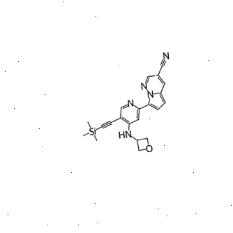 C[Si](C)(C)C#Cc1cnc(-c2ccc3cc(C#N)cnn23)cc1NC1COC1